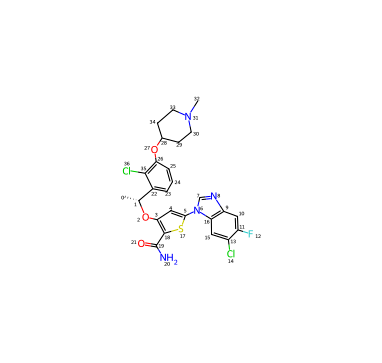 C[C@@H](Oc1cc(-n2cnc3cc(F)c(Cl)cc32)sc1C(N)=O)c1cccc(OC2CCN(C)CC2)c1Cl